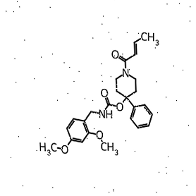 CC=CC(=O)N1CCC(OC(=O)NCc2ccc(OC)cc2OC)(c2ccccc2)CC1